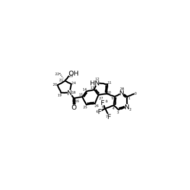 Cc1ncc(C(F)(F)F)c(-c2c[nH]c3cc(C(=O)N4CC[C@@](C)(O)C4)ccc23)n1